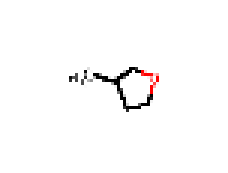 CC1CCOC1